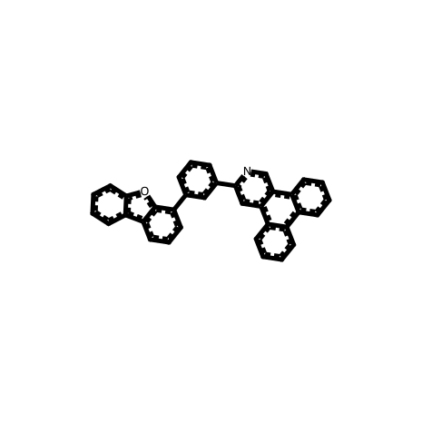 c1cc(-c2cc3c4ccccc4c4ccccc4c3cn2)cc(-c2cccc3c2oc2ccccc23)c1